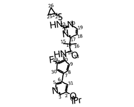 CC(C)Oc1cncc(-c2ccc(NC(=O)C(C)(C)c3ccnc(NSC4CC4)n3)c(F)c2)c1